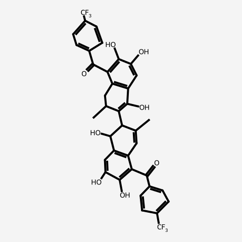 CC1=Cc2c(cc(O)c(O)c2C(=O)c2ccc(C(F)(F)F)cc2)C(O)C1C1=C(O)c2cc(O)c(O)c(C(=O)c3ccc(C(F)(F)F)cc3)c2CC1C